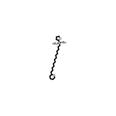 CCCCS(CCCC)(CCCCCCCCCCCCCCC1CCCCO1)C1CCCO1